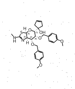 CNC1=N[C@@H]2[C@@H](OCc3ccc(OC)cc3)[C@@H](OCc3ccc(OC)cc3)[C@@H](C3(O)CC=CC3)O[C@@H]2S1